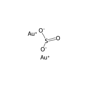 O=S([O-])[O-].[Au+].[Au+]